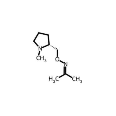 CC(C)=NOC[C@H]1CCCN1C